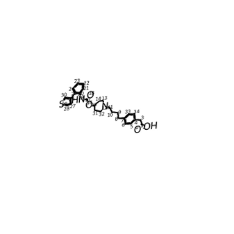 O=C(O)Cc1ccc(CCCCN2CCC(OC(=O)Nc3ccccc3-c3ccsc3)CC2)cc1